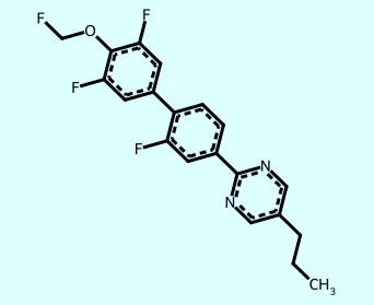 CCCc1cnc(-c2ccc(-c3cc(F)c(OCF)c(F)c3)c(F)c2)nc1